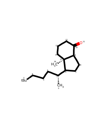 C[C@H](CCCC(C)(C)C)C1CCC2C(=O)CCC[C@@]21C